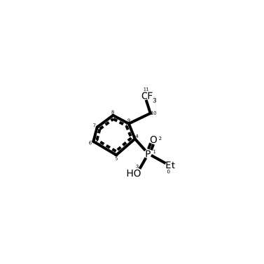 CCP(=O)(O)c1ccccc1CC(F)(F)F